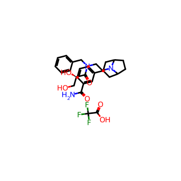 NC(=O)c1cccc(C2CC3CCC(C2)N3CCN(Cc2ccccc2)C(=O)[C@H](O)CO)c1.O=C(O)C(F)(F)F